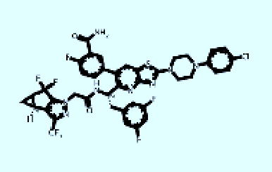 NC(=O)c1cc(-c2cc3sc(N4CCN(c5ccc(Cl)cc5)CC4)nc3nc2[C@H](Cc2cc(F)cc(F)c2)NC(=O)Cn2nc(C(F)(F)F)c3c2C(F)(F)C2C[C@H]32)ccc1F